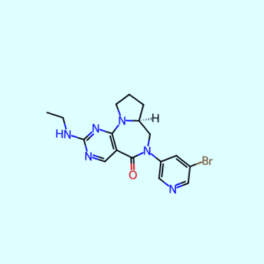 CCNc1ncc2c(n1)N1CCC[C@H]1CN(c1cncc(Br)c1)C2=O